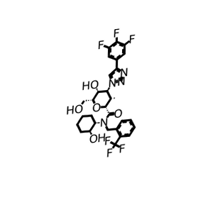 O=C([C@H]1[CH][C@H](n2cc(-c3cc(F)c(F)c(F)c3)nn2)[C@@H](O)[C@@H](CO)O1)N(Cc1ccccc1C(F)(F)F)[C@H]1CCCC[C@@H]1O